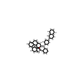 c1ccc(N(c2ccc(-c3ccc4ccccc4c3)cc2)c2ccc3c(ccc4ccccc43)c2)c(-c2cc3ccccc3o2)c1